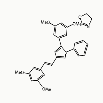 C1=NCCO1.COc1cc(C=Cc2cc(-c3cc(OC)cc(OC)c3)n(-c3ccccc3)c2)cc(OC)c1